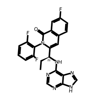 CC[C@H](Nc1ncnc2[nH]cnc12)c1cc2ccc(F)cc2c(=O)n1-c1c(F)cccc1F